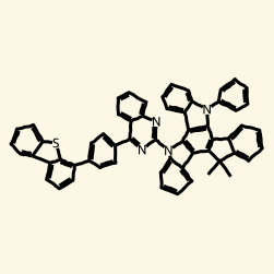 CC1(C)c2ccccc2-c2c1c1c3ccccc3n(-c3nc(-c4ccc(-c5cccc6c5sc5ccccc56)cc4)c4ccccc4n3)c1c1c3ccccc3n(-c3ccccc3)c21